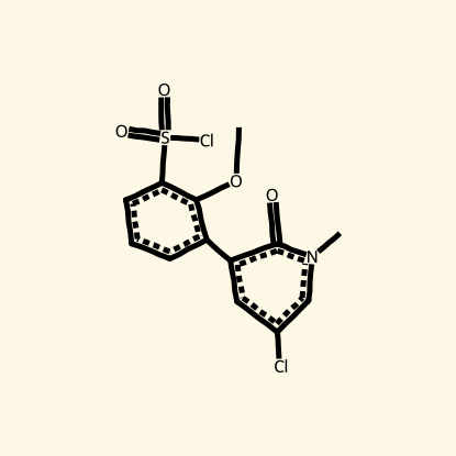 COc1c(-c2cc(Cl)cn(C)c2=O)cccc1S(=O)(=O)Cl